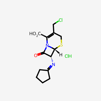 Cl.O=C(O)C1=C(CCl)CS[C@@H]2[C@H](N=C3CCCC3)C(=O)N12